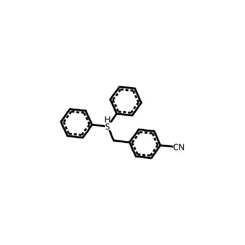 N#Cc1ccc(C[SH](c2ccccc2)c2ccccc2)cc1